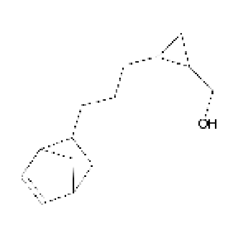 OCC1CC1CCCC1CC2C=CC1C2